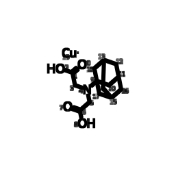 O=C(O)CN(CC(=O)O)C12CC3CC(CC(C3)C1)C2.[Cu]